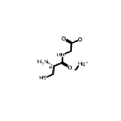 N[C@@H](CS)C(=O)NCC(=O)[O-].[CH3][Hg+]